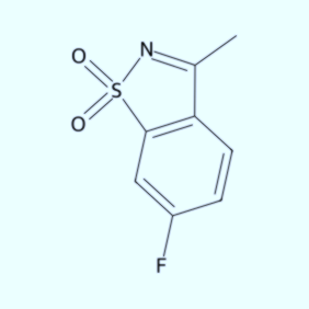 CC1=NS(=O)(=O)c2cc(F)ccc21